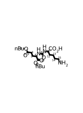 CCCCOC(=O)CCC(NC(=O)NC(CCCCN)C(=O)O)C(=O)OCCCC